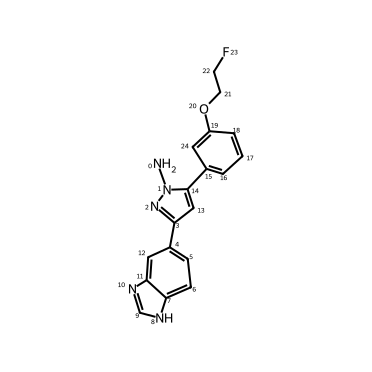 Nn1nc(-c2ccc3[nH]cnc3c2)cc1-c1cccc(OCCF)c1